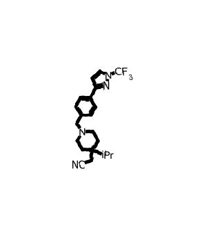 CC(C)C1(CC#N)CCN(Cc2ccc(-c3ccn(C(F)(F)F)n3)cc2)CC1